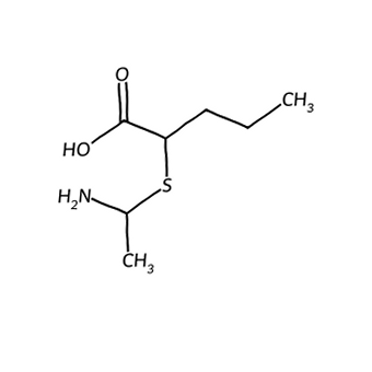 CCCC(SC(C)N)C(=O)O